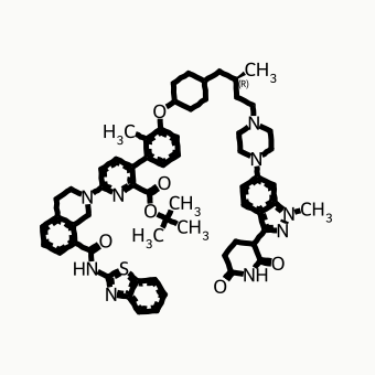 Cc1c(OC2CCC(C[C@@H](C)CCN3CCN(c4ccc5c(C6CCC(=O)NC6=O)nn(C)c5c4)CC3)CC2)cccc1-c1ccc(N2CCc3cccc(C(=O)Nc4nc5ccccc5s4)c3C2)nc1C(=O)OC(C)(C)C